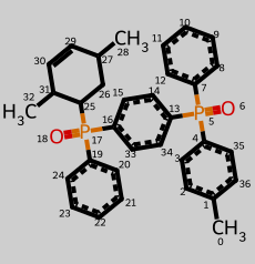 Cc1ccc(P(=O)(c2ccccc2)c2ccc(P(=O)(c3ccccc3)C3CC(C)C=CC3C)cc2)cc1